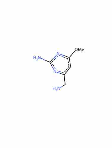 COc1cc(CN)nc(N)n1